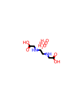 O.O.O.O=C(O)CNCCNCC(=O)O